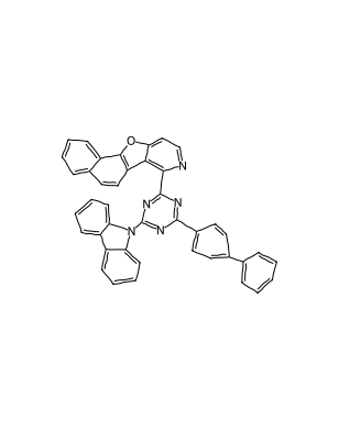 c1ccc(-c2ccc(-c3nc(-c4nccc5oc6c7ccccc7ccc6c45)nc(-n4c5ccccc5c5ccccc54)n3)cc2)cc1